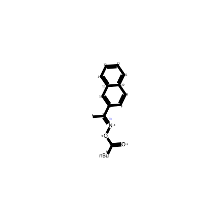 CCCCC(=O)O/N=C(\C)c1ccc2ccccc2c1